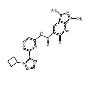 Cn1nc(C(F)(F)F)c2cc(C(=O)Nc3cccc(-c4nncn4C4CCC4)n3)c(=O)[nH]c21